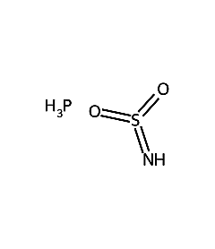 N=S(=O)=O.P